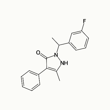 Cc1[nH]n(C(C)c2cccc(F)c2)c(=O)c1-c1ccccc1